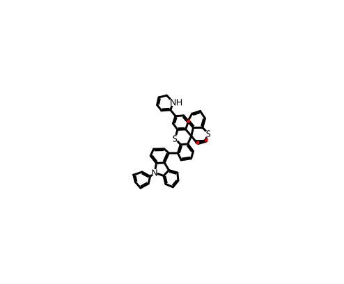 C1=CCNC(c2ccc3c(c2)Sc2c(-c4cccc5c4c4ccccc4n5-c4ccccc4)cccc2C32C3=CC=CCC3Sc3ccccc32)=C1